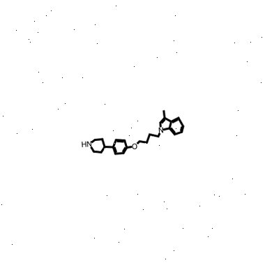 Cc1cn(CCCCOc2ccc(C3CCNCC3)cc2)c2ccccc12